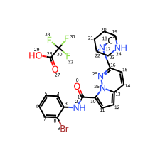 O=C(Nc1ccccc1Br)c1ccc2ccc(N3CC4CCC3CN4)nn12.O=C(O)C(F)(F)F